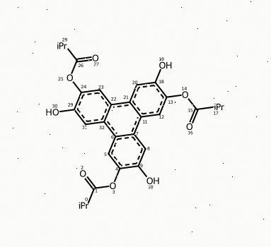 CC(C)C(=O)Oc1cc2c(cc1O)c1cc(OC(=O)C(C)C)c(O)cc1c1cc(OC(=O)C(C)C)c(O)cc21